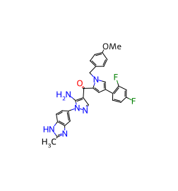 COc1ccc(Cn2cc(-c3ccc(F)cc3F)cc2C(=O)c2cnn(-c3ccc4[nH]c(C)nc4c3)c2N)cc1